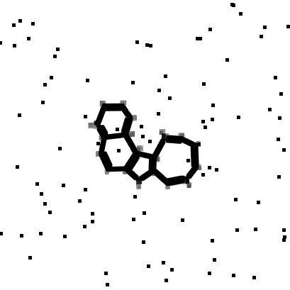 C1=CN=Cc2sc3ccc4ncccc4c3c2N=C1